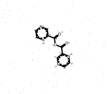 O=C(OC(=O)c1cnccn1)c1cnccn1